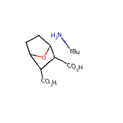 CC(C)(C)N.O=C(O)C1C2CCC(O2)C1C(=O)O